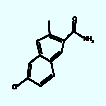 Cc1cc2cc(Cl)ccc2cc1C(N)=O